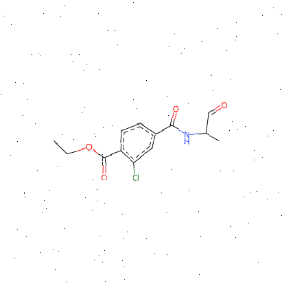 CCOC(=O)c1ccc(C(=O)NC(C)C=O)cc1Cl